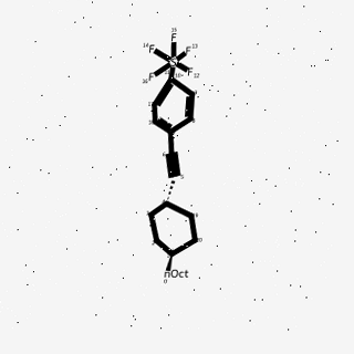 CCCCCCCC[C@H]1CC[C@H](C#Cc2ccc(S(F)(F)(F)(F)F)cc2)CC1